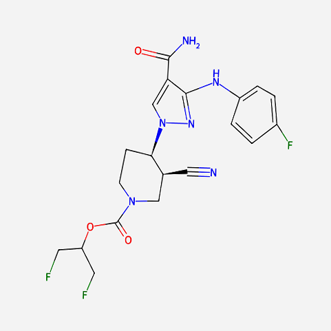 N#C[C@H]1CN(C(=O)OC(CF)CF)CC[C@H]1n1cc(C(N)=O)c(Nc2ccc(F)cc2)n1